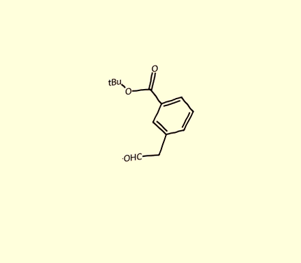 CC(C)(C)OC(=O)c1cccc(C[C]=O)c1